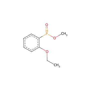 CCOc1ccccc1[PH](=O)OC